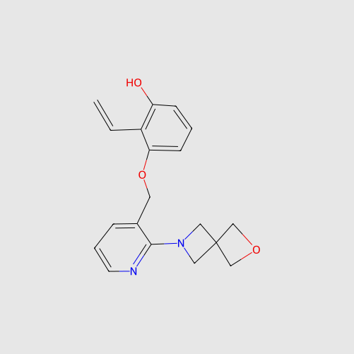 C=Cc1c(O)cccc1OCc1cccnc1N1CC2(COC2)C1